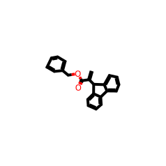 C=C(C(=O)OCc1ccccc1)C1c2ccccc2-c2ccccc21